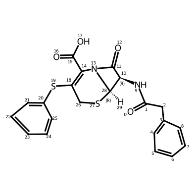 O=C(Cc1ccccc1)N[C@@H]1C(=O)N2C(C(=O)O)=C(Sc3ccccc3)CS[C@H]12